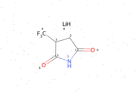 O=C1CC(C(F)(F)F)C(=O)N1.[LiH]